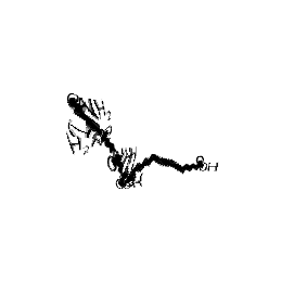 N[C@H]([C]=O)CCCCNC(=O)[C@@H](N)CCCCNC(=O)CC[C@H](NC(=O)CCCCCCCCCCCCC(=O)O)C(=O)O